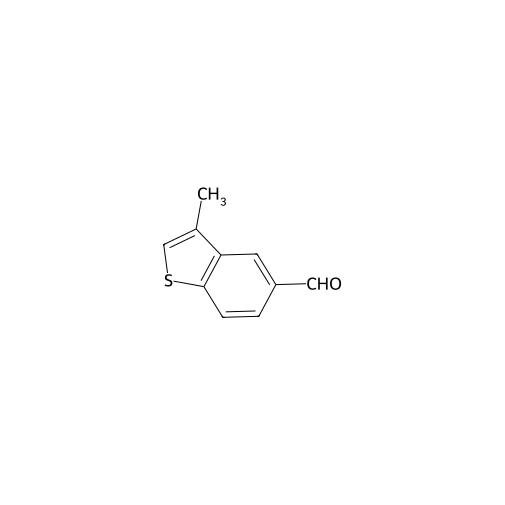 Cc1csc2ccc(C=O)cc12